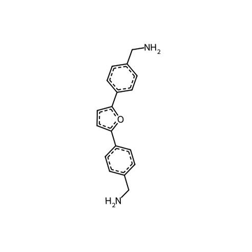 NCc1ccc(-c2ccc(-c3ccc(CN)cc3)o2)cc1